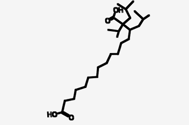 CC(C)CC(CCCCCCCCCCCCC(=O)O)C(CC(C)C)(C(=O)O)C(C)C